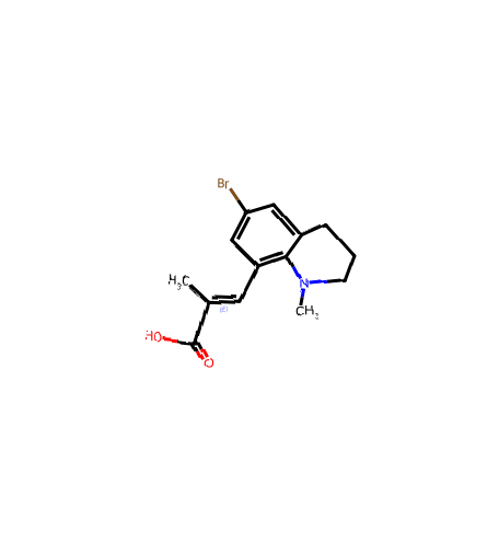 C/C(=C\c1cc(Br)cc2c1N(C)CCC2)C(=O)O